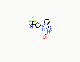 OCCn1nnc(-c2ccccc2Nc2ccc(C3(C(F)(F)F)N=N3)cc2)n1